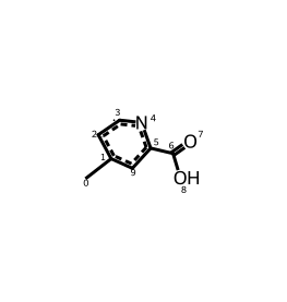 Cc1c[c]nc(C(=O)O)c1